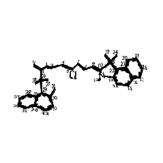 C=C(/C=C/C=C(Cl)/C=C/C=C1\N(C)c2ccc3ccccc3c2C1(C)C)C(C)(C)c1c(C)ccc2ccccc12